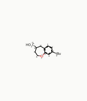 CC(C)(C)c1ccc2c(c1)OCCC(C(=O)O)C2